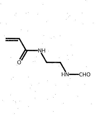 C=CC(=O)NCCNC=O